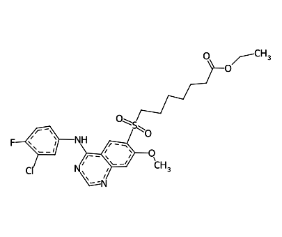 CCOC(=O)CCCCCCS(=O)(=O)c1cc2c(Nc3ccc(F)c(Cl)c3)ncnc2cc1OC